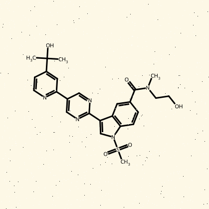 CN(CCO)C(=O)c1ccc2c(c1)c(-c1ncc(-c3cc(C(C)(C)O)ccn3)cn1)cn2S(C)(=O)=O